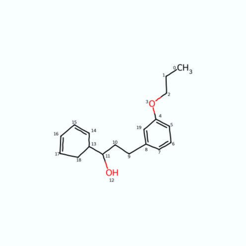 CCCOc1cccc(CCC(O)C2C=CC=CC2)c1